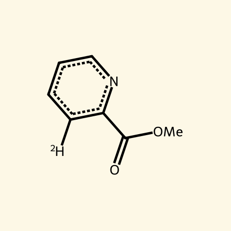 [2H]c1cccnc1C(=O)OC